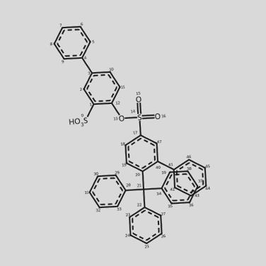 O=S(=O)(O)c1cc(-c2ccccc2)ccc1OS(=O)(=O)c1ccc(C(c2ccccc2)(c2ccccc2)c2ccccc2)c(-c2ccccc2)c1